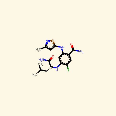 Cc1cc(Nc2cc(N[C@H](CC(C)C)C(N)=O)c(F)cc2C(N)=O)sn1